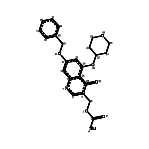 CC(C)(C)C(=O)OCn1cnc2cc(OCc3ccccc3)cc(OC3CCOCC3)c2c1=O